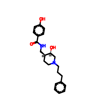 O=C(NC[C@@H]1CCN(CCCc2ccccc2)C[C@H]1O)c1ccc(O)cc1